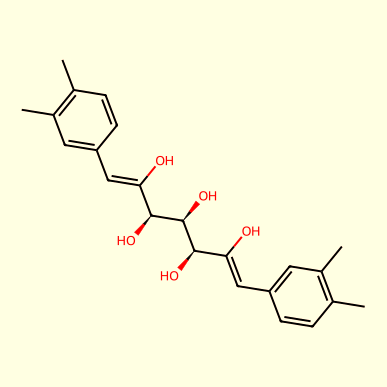 Cc1ccc(C=C(O)[C@@H](O)[C@H](O)[C@@H](O)C(O)=Cc2ccc(C)c(C)c2)cc1C